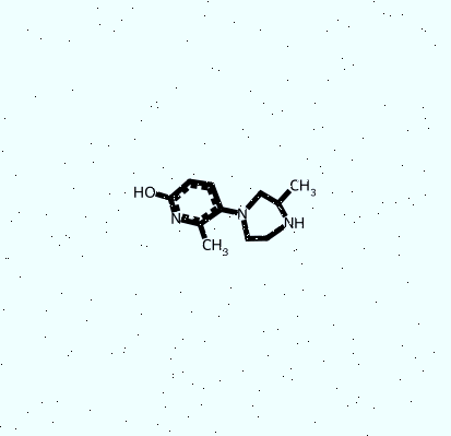 Cc1nc(O)ccc1N1CCNC(C)C1